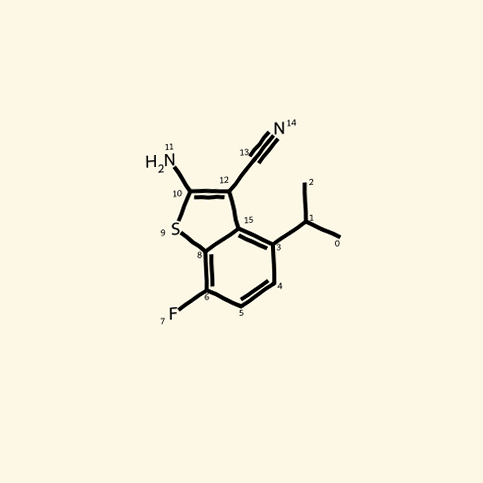 CC(C)c1ccc(F)c2sc(N)c(C#N)c12